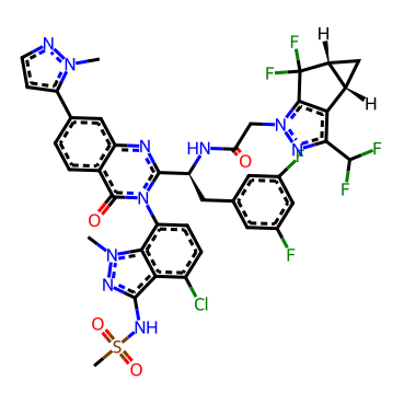 Cn1nccc1-c1ccc2c(=O)n(-c3ccc(Cl)c4c(NS(C)(=O)=O)nn(C)c34)c([C@H](Cc3cc(F)cc(F)c3)NC(=O)Cn3nc(C(F)F)c4c3C(F)(F)[C@@H]3C[C@H]43)nc2c1